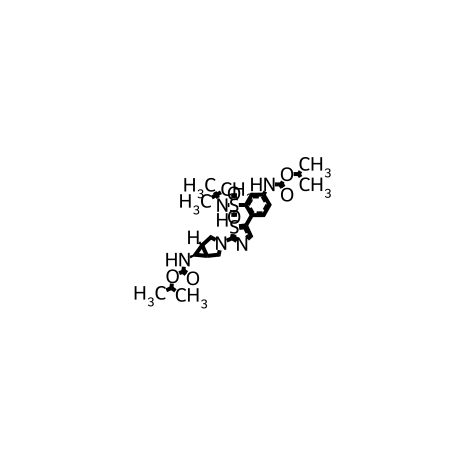 CC(C)OC(=O)Nc1ccc(-c2cnc(N3CC4[C@@H](C3)[C@@H]4NC(=O)OC(C)C)s2)c(S(=O)(=O)NC(C)(C)C)c1